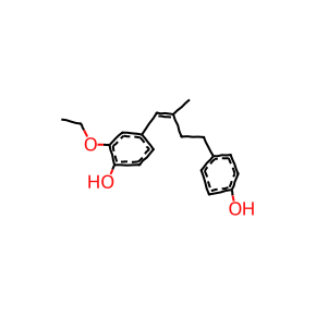 CCOc1cc(C=C(C)CCc2ccc(O)cc2)ccc1O